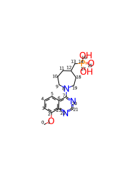 COc1cccc2c(N3CCCC(CP(=O)(O)O)CC3)ncnc12